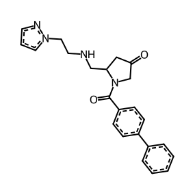 O=C1CC(CNCCn2cccn2)N(C(=O)c2ccc(-c3ccccc3)cc2)C1